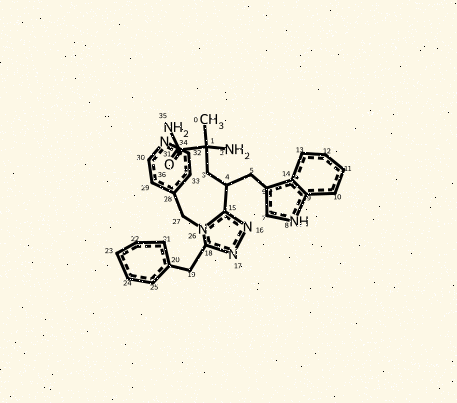 CC(N)(CC(Cc1c[nH]c2ccccc12)c1nnc(Cc2ccccc2)n1Cc1ccncc1)C(N)=O